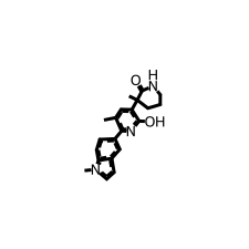 Cc1cc(C2(C)CCCNC2=O)c(O)nc1-c1ccc2c(ccn2C)c1